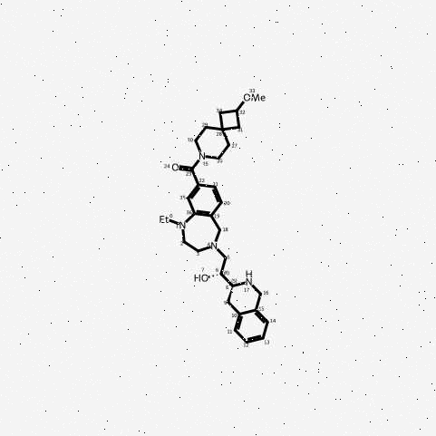 CCN1CCN(C[C@@H](O)[C@@H]2Cc3ccccc3CN2)Cc2ccc(C(=O)N3CCC4(CC3)CC(OC)C4)cc21